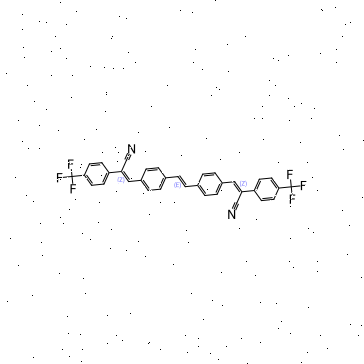 N#C/C(=C\c1ccc(/C=C/c2ccc(/C=C(\C#N)c3ccc(C(F)(F)F)cc3)cc2)cc1)c1ccc(C(F)(F)F)cc1